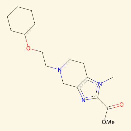 COC(=O)c1nc2c(n1C)CCN(CCOC1CCCCC1)C2